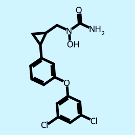 NC(=O)N(O)CC1CC1c1cccc(Oc2cc(Cl)cc(Cl)c2)c1